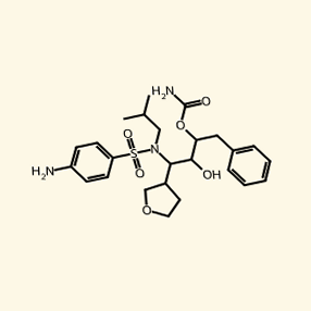 CC(C)CN(C(C1CCOC1)C(O)C(Cc1ccccc1)OC(N)=O)S(=O)(=O)c1ccc(N)cc1